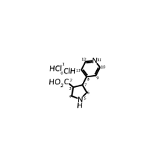 Cl.Cl.O=C(O)C1CNCC1c1ccncc1